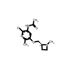 CC(=O)Nc1cc(OC[C@@H]2CCN2C)c(C)nc1Cl